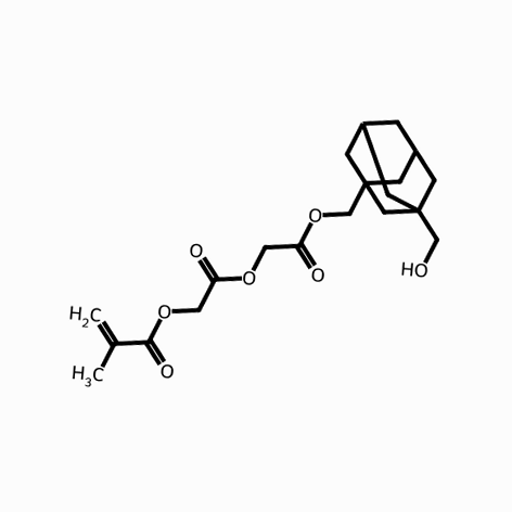 C=C(C)C(=O)OCC(=O)OCC(=O)OCC12CC3CC(CC(CO)(C3)C1)C2